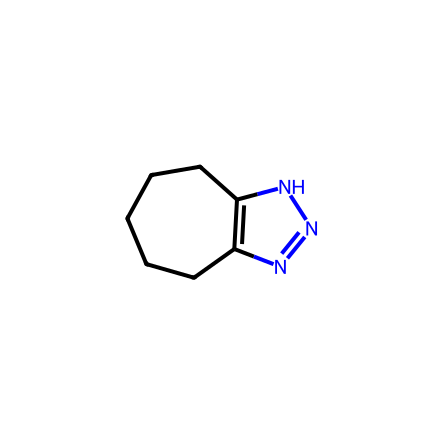 C1CCc2nn[nH]c2CC1